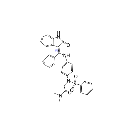 CN(C)C(=O)CN(c1ccc(N/C(=C2\C(=O)Nc3ccccc32)c2ccccc2)cc1)S(=O)(=O)c1ccccc1